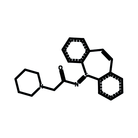 O=C(CN1CCCCC1)N=S1c2ccccc2C=Cc2ccccc21